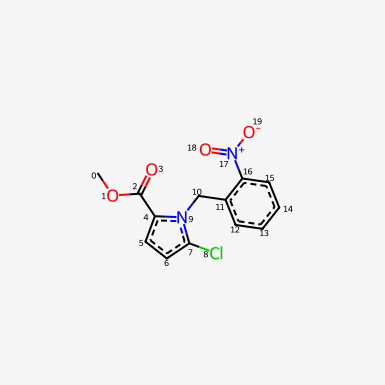 COC(=O)c1ccc(Cl)n1Cc1ccccc1[N+](=O)[O-]